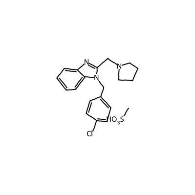 CS(=O)(=O)O.Clc1ccc(Cn2c(CN3CCCC3)nc3ccccc32)cc1